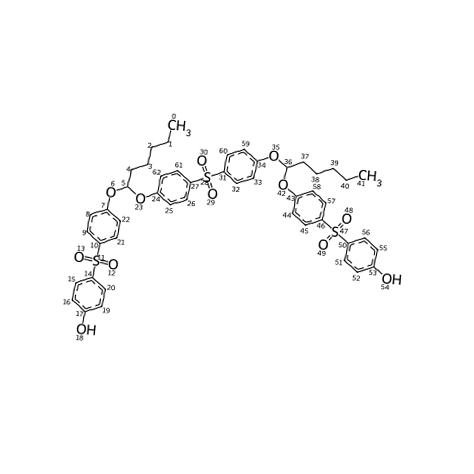 CCCCCC(Oc1ccc(S(=O)(=O)c2ccc(O)cc2)cc1)Oc1ccc(S(=O)(=O)c2ccc(OC(CCCCC)Oc3ccc(S(=O)(=O)c4ccc(O)cc4)cc3)cc2)cc1